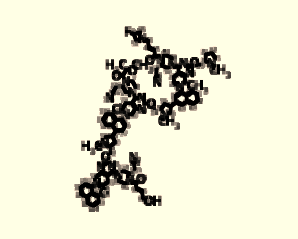 C=C(OC)C(=O)N1CCN(c2nc(OC[C@@H]3CC(c4cc(N5CCc6c(nc(OC[C@@H]7CCCN7C)nc6N6CCN(C(=O)/C=C/CN7CC(F)C7)[C@@H](CC#N)C6)C5)c5c(C)cccc5c4)CN3C)nc3c2CCN(c2ccc(C4C[C@@H](COc5nc6c(c(N7CCN(C(=O)/C=C/CO)[C@@H](CC#N)C7)n5)CCN(c5cccc7cccc(Cl)c57)C6)N(C)C4)c4cccc(Cl)c24)C3)C[C@@H]1CC#N